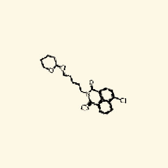 O=C1c2cccc3c(Cl)ccc(c23)C(=O)N1CCCCCOC1CCCCO1